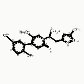 COc1cn(C(Cc2cc(C)no2)C(=O)O)c(=O)cc1-c1cc(Cl)ccc1C(C)C